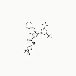 Cc1c(C(=O)NC2CS(=O)(=O)C2)cc(-c2cc(C(C)(C)C)cc(C(C)(C)C)c2)n1CC1CCCCC1